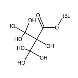 CC(C)(C)OC(=O)C(O)(C(O)(O)O)C(O)(O)O